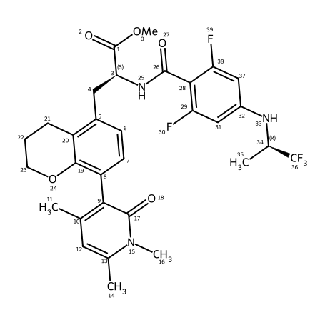 COC(=O)[C@H](Cc1ccc(-c2c(C)cc(C)n(C)c2=O)c2c1CCCO2)NC(=O)c1c(F)cc(N[C@H](C)C(F)(F)F)cc1F